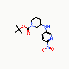 CC(C)(C)OC(=O)N1CCCC(Nc2ccc([N+](=O)[O-])nc2)C1